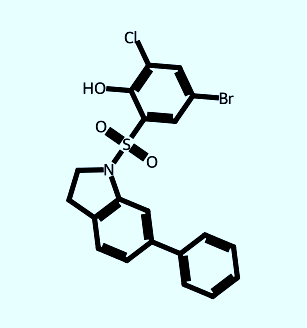 O=S(=O)(c1cc(Br)cc(Cl)c1O)N1CCc2ccc(-c3ccccc3)cc21